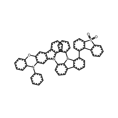 O=S1(=O)c2ccccc2-c2c(-c3cccc4c3B(c3ccccc3)c3c-4cccc3-n3c4ccccc4c4cc5c(cc43)N(c3ccccc3)c3ccccc3O5)cccc21